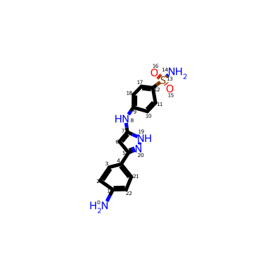 Nc1ccc(-c2cc(Nc3ccc(S(N)(=O)=O)cc3)[nH]n2)cc1